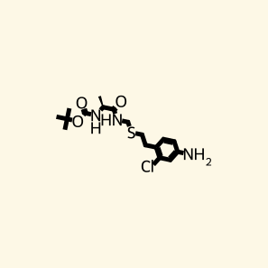 C[C@H](NC(=O)OC(C)(C)C)C(=O)NCSCCc1ccc(N)cc1Cl